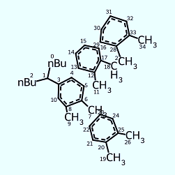 CCCCC(CCCC)c1ccc(C)c(C)c1.Cc1ccccc1C.Cc1ccccc1C.Cc1ccccc1C